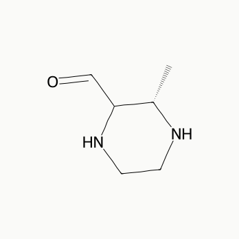 C[C@@H]1NCCNC1C=O